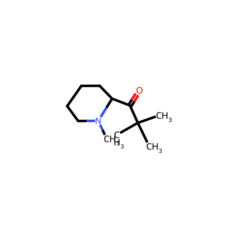 CN1CCCCC1C(=O)C(C)(C)C